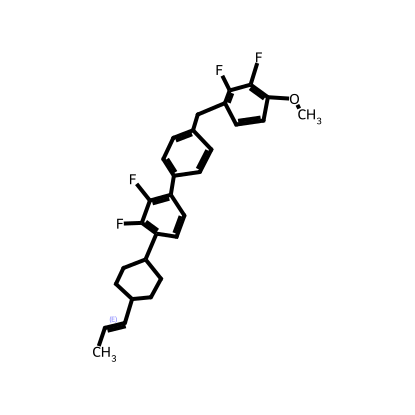 C/C=C/C1CCC(c2ccc(-c3ccc(Cc4ccc(OC)c(F)c4F)cc3)c(F)c2F)CC1